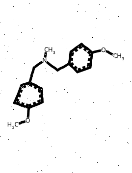 COc1ccc(CN(C)Cc2ccc(OC)cc2)cc1